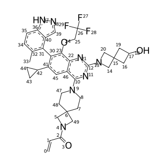 C=CC(=O)N1CC2(CCN(c3nc(N4CC5(CC(O)C5)C4)nc4c(OCC(F)(F)F)c(-c5c(C)ccc6[nH]ncc56)c(C5CC5)cc34)CC2)C1